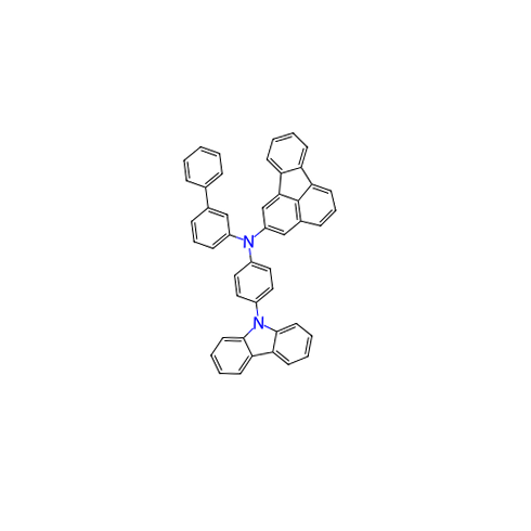 c1ccc(-c2cccc(N(c3ccc(-n4c5ccccc5c5ccccc54)cc3)c3cc4c5c(cccc5c3)-c3ccccc3-4)c2)cc1